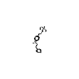 CC1OC(CCc2ccc(N(C)CCc3ccccc3)cc2)O1